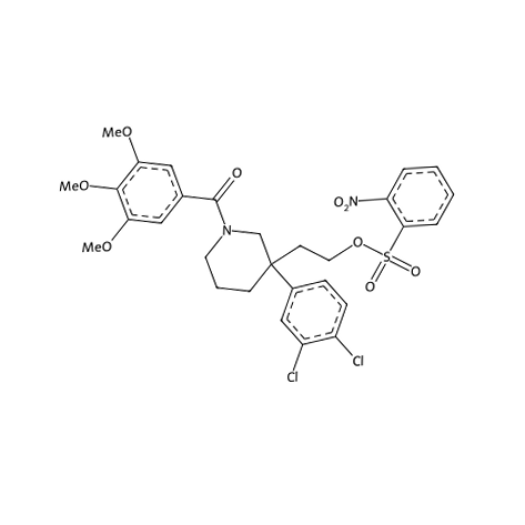 COc1cc(C(=O)N2CCCC(CCOS(=O)(=O)c3ccccc3[N+](=O)[O-])(c3ccc(Cl)c(Cl)c3)C2)cc(OC)c1OC